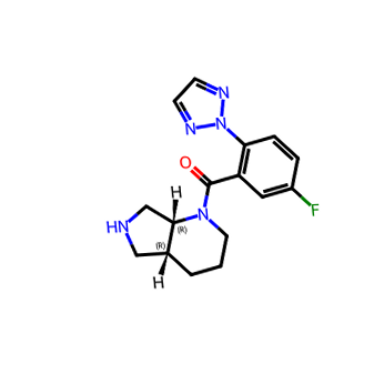 O=C(c1cc(F)ccc1-n1nccn1)N1CCC[C@@H]2CNC[C@@H]21